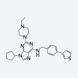 CCN1CCN(c2nc(NCc3ccc(-c4ccsc4)cc3)c3ncn(C4CCCC4)c3n2)CC1